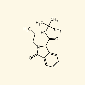 CCCN1C(=O)c2ccccc2C1C(=O)NC(C)(C)C